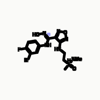 CN[SH](C)(=O)CCNc1nonc1/C(=N/O)Nc1ccc(F)c(Br)c1